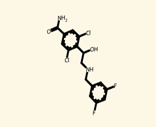 NC(=O)c1cc(Cl)c(C(O)CNCc2cc(F)cc(F)c2)c(Cl)c1